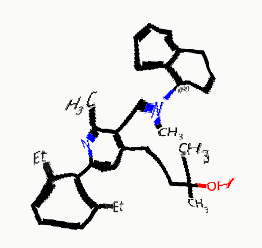 CCc1cccc(CC)c1-c1cc(CCC(C)(C)O)c(CN(C)[C@@H]2CCCc3ccccc32)c(C)n1